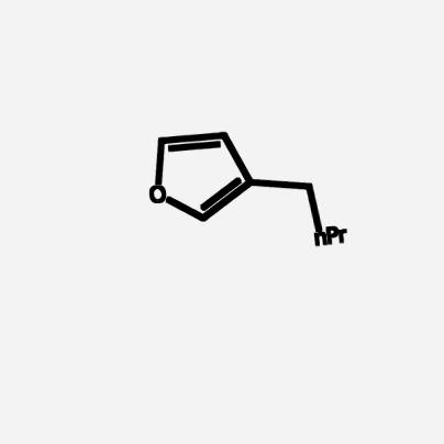 [CH]CCCc1ccoc1